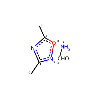 Cc1noc(C)n1.NC=O